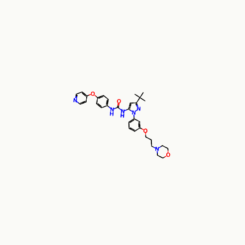 CC(C)(C)c1cc(NC(=O)Nc2ccc(Oc3ccncc3)cc2)n(-c2cccc(OCCCN3CCOCC3)c2)n1